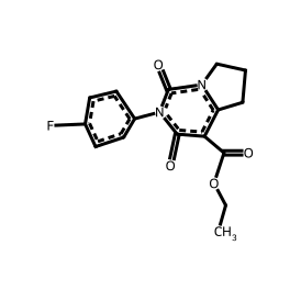 CCOC(=O)c1c2n(c(=O)n(-c3ccc(F)cc3)c1=O)CCC2